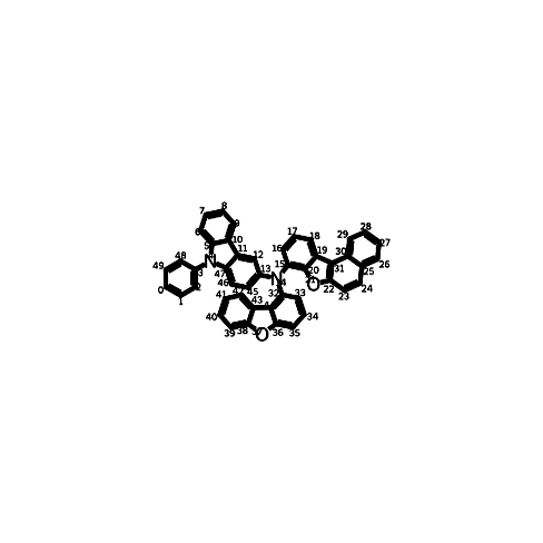 c1ccc(-n2c3ccccc3c3cc(N(c4cccc5c4oc4ccc6ccccc6c45)c4cccc5oc6ccccc6c45)ccc32)cc1